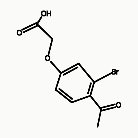 CC(=O)c1ccc(OCC(=O)O)cc1Br